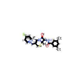 CCc1cc(CC)cc(C(=O)NC2C(=O)N3C(C(=O)O)=C(C[n+]4ccc(F)cc4)CS[C@@H]23)c1